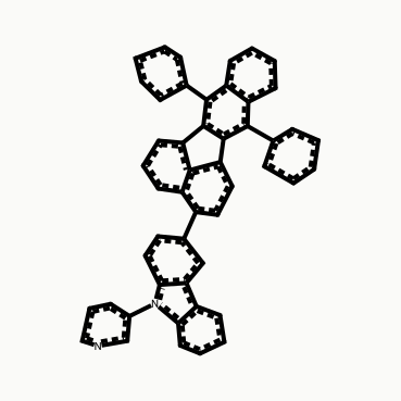 c1ccc(-c2c3c(c(-c4ccccc4)c4ccccc24)-c2ccc(-c4ccc5c(c4)c4ccccc4n5-c4cccnc4)c4cccc-3c24)cc1